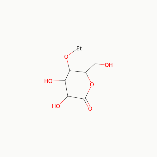 CCOC1C(CO)OC(=O)C(O)C1O